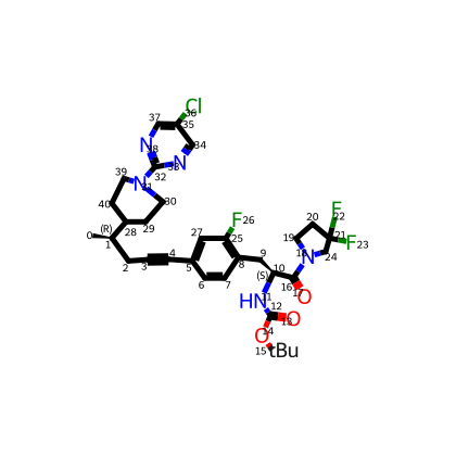 C[C@H](CC#Cc1ccc(C[C@H](NC(=O)OC(C)(C)C)C(=O)N2CCC(F)(F)C2)c(F)c1)C1CCN(c2ncc(Cl)cn2)CC1